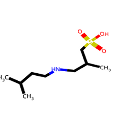 CC(C)CCNCC(C)CS(=O)(=O)O